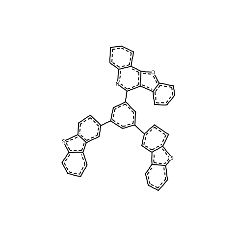 c1ccc2c(c1)nc(-c1cc(-c3ccc4sc5ccccc5c4c3)cc(-c3ccc4sc5ccccc5c4c3)c1)c1c3ccccc3oc21